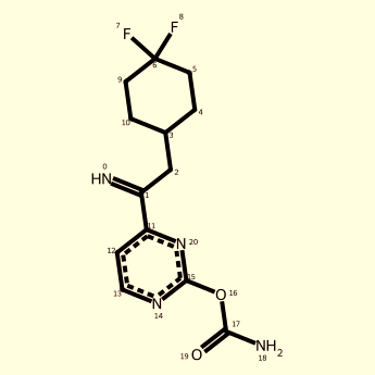 N=C(CC1CCC(F)(F)CC1)c1ccnc(OC(N)=O)n1